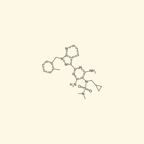 Cc1ccccc1Cn1nc(-c2nc(N)c(N(CC3CC3)S(=O)(=O)N(C)C)c(N)n2)c2cccnc21